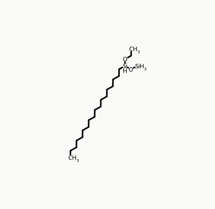 CCCCCCCCCCCCCCCCCC[SiH](O[SiH3])OCC